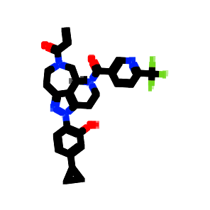 C=CC(=O)N1CCc2nn(-c3ccc(C4CC4)cc3O)c3c2[C@H](C1)N(C(=O)c1ccc(C(F)(F)F)nc1)CC3